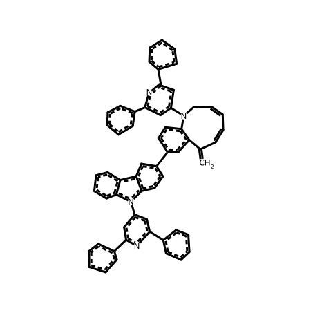 C=C1/C=C\C=C/CN(c2cc(-c3ccccc3)nc(-c3ccccc3)c2)c2ccc(-c3ccc4c(c3)c3ccccc3n4-c3cc(-c4ccccc4)nc(-c4ccccc4)c3)cc21